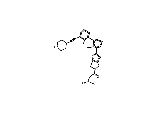 CCN(C)CC(=O)N1Cc2nc(-c3cccc(-c4cccc(C#CC5CCNCC5)c4C)c3C)sc2C1